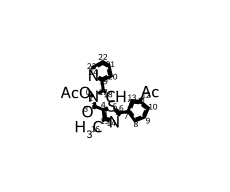 CC(=O)ON(C(=O)c1sc(-c2cccc(C(C)=O)c2)nc1C)C(C)c1ccccn1